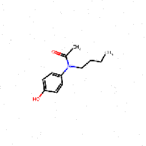 CCCCN(C(C)=O)c1ccc(O)cc1